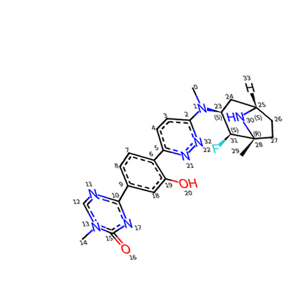 CN(c1ccc(-c2ccc(-c3ncn(C)c(=O)n3)cc2O)nn1)[C@H]1C[C@@H]2CC[C@@](C)(N2)[C@H]1F